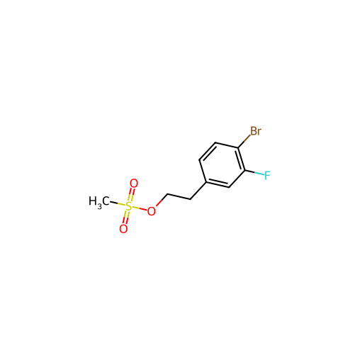 CS(=O)(=O)OCCc1ccc(Br)c(F)c1